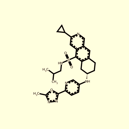 Cc1nnc(-c2ccc(N[C@H]3CCc4cc5cnc(C6CC6)cc5c(S(=O)(=O)NCC(C)C)c4C3)cn2)o1